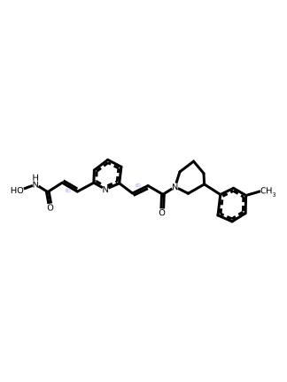 Cc1cccc(C2CCCN(C(=O)/C=C/c3cccc(/C=C/C(=O)NO)n3)C2)c1